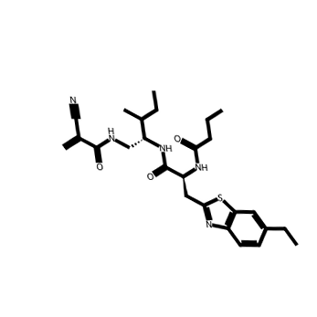 C=C(C#N)C(=O)NC[C@@H](NC(=O)[C@H](Cc1nc2ccc(CC)cc2s1)NC(=O)CCC)C(C)CC